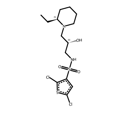 CC[C@H]1CCCCN1C[C@H](O)CNS(=O)(=O)c1cc(Cl)sc1Cl